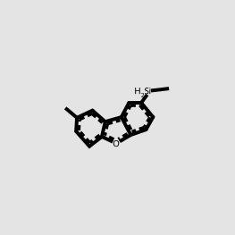 C[SiH2]c1ccc2oc3ccc(C)cc3c2c1